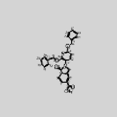 O=C(O)c1ccc2c(c1)CN(c1ccc(OCc3ccccc3)nc1OCc1ccccc1)C2=O